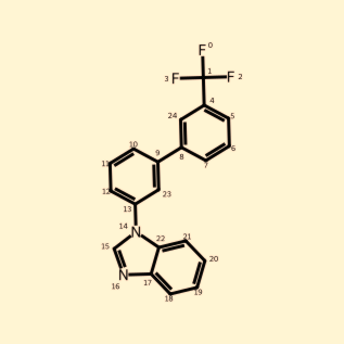 FC(F)(F)c1cccc(-c2cccc(-n3cnc4ccccc43)c2)c1